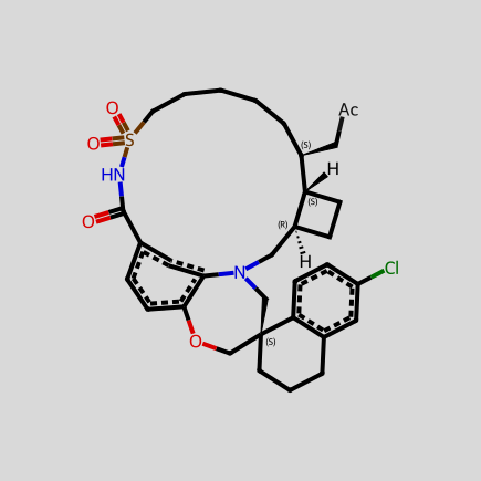 CC(=O)C[C@@H]1CCCCCS(=O)(=O)NC(=O)c2ccc3c(c2)N(C[C@@H]2CC[C@@H]12)C[C@@]1(CCCc2cc(Cl)ccc21)CO3